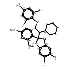 COc1ccc(C2(C(COc3c(F)cc(C#N)cc3F)C3CCCCC3)Nc3cc(F)c(F)cc3N2)c(OC)n1